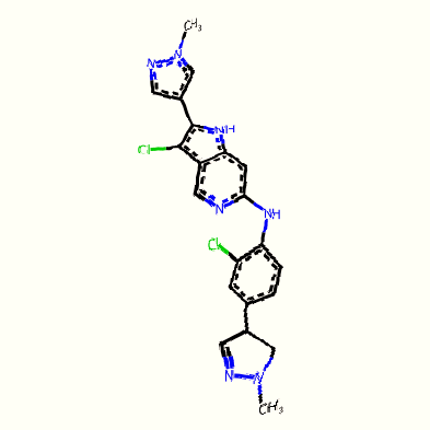 CN1CC(c2ccc(Nc3cc4[nH]c(-c5cnn(C)c5)c(Cl)c4cn3)c(Cl)c2)C=N1